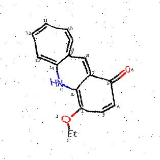 CCOc1ccc(=O)c2cc3ccccc3[nH]c1-2